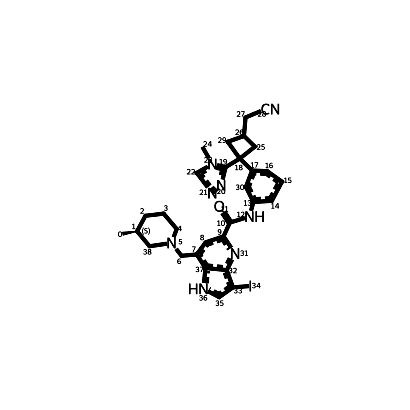 C[C@H]1CCCN(Cc2cc(C(=O)Nc3cccc(C4(c5nncn5C)CC(CC#N)C4)c3)nc3c(I)c[nH]c23)C1